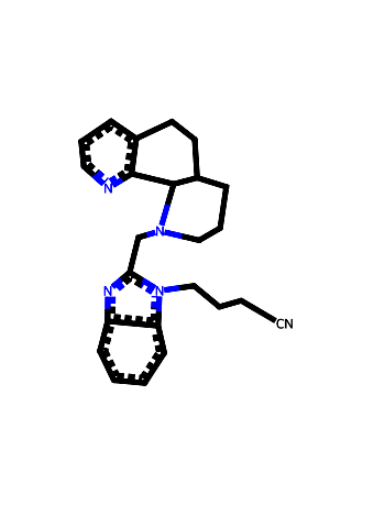 N#CCCCn1c(CN2CCCC3CCc4cccnc4C32)nc2ccccc21